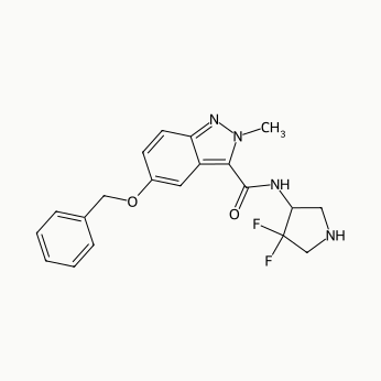 Cn1nc2ccc(OCc3ccccc3)cc2c1C(=O)NC1CNCC1(F)F